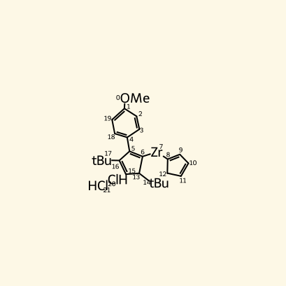 COc1ccc(C2=[C]([Zr][C]3=CC=CC3)C(C(C)(C)C)C=C2C(C)(C)C)cc1.Cl.Cl